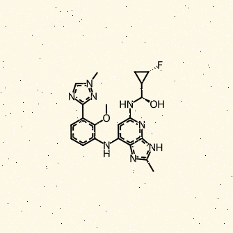 COc1c(Nc2cc(N[C@H](O)C3C[C@@H]3F)nc3[nH]c(C)nc23)cccc1-c1ncn(C)n1